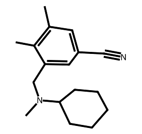 Cc1cc(C#N)cc(CN(C)C2CCCCC2)c1C